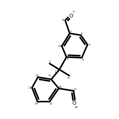 CC(C)(c1cccc(C=O)c1)c1ccccc1C=O